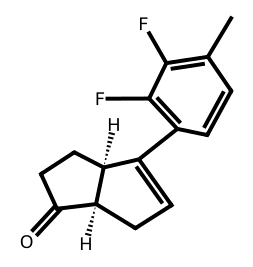 Cc1ccc(C2=CC[C@H]3C(=O)CC[C@@H]23)c(F)c1F